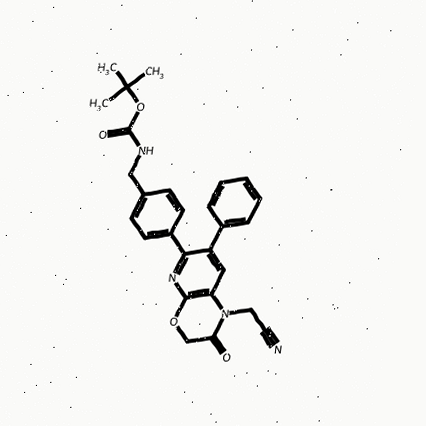 CC(C)(C)OC(=O)NCc1ccc(-c2nc3c(cc2-c2ccccc2)N(CC#N)C(=O)CO3)cc1